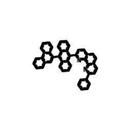 c1ccc(-c2ccc3ccc4ccc(-c5c6ccccc6c(-c6cc7ccccc7c7ccccc67)c6ccccc56)nc4c3n2)cc1